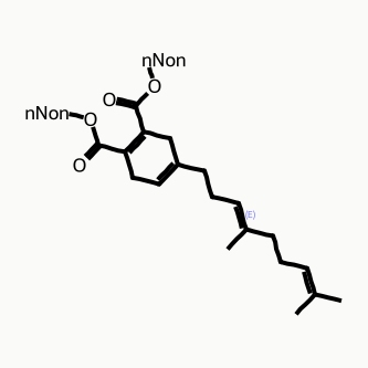 CCCCCCCCCOC(=O)C1=C(C(=O)OCCCCCCCCC)CC(CC/C=C(\C)CCC=C(C)C)=CC1